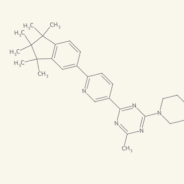 Cc1nc(-c2ccc(-c3ccc4c(c3)C(C)(C)C(C)(C)C4(C)C)nc2)nc(N2CCOCC2)n1